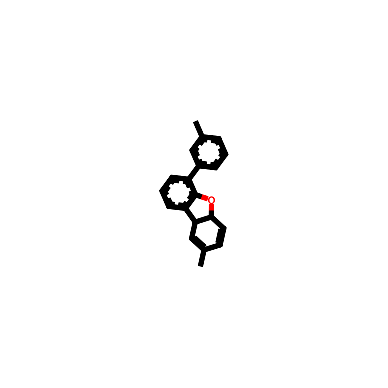 CC1=CC2c3cccc(-c4cccc(C)c4)c3OC2C=C1